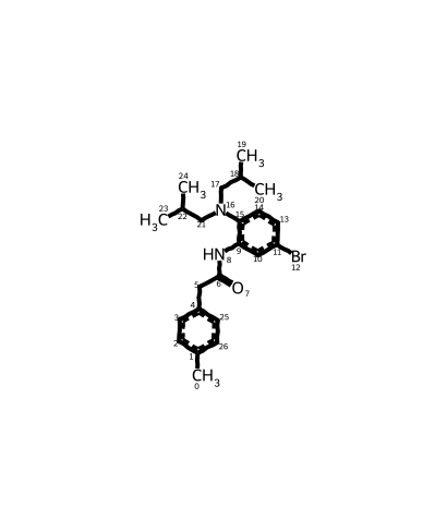 Cc1ccc(CC(=O)Nc2cc(Br)ccc2N(CC(C)C)CC(C)C)cc1